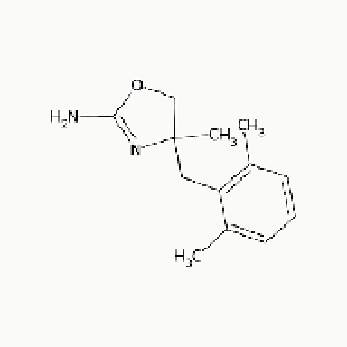 Cc1cccc(C)c1CC1(C)COC(N)=N1